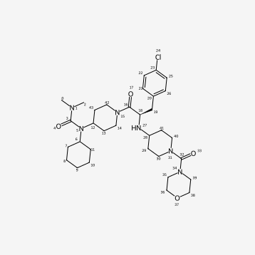 CN(C)C(=O)N(C1CCCCC1)C1CCN(C(=O)[C@@H](Cc2ccc(Cl)cc2)NC2CCN(C(=O)N3CCOCC3)CC2)CC1